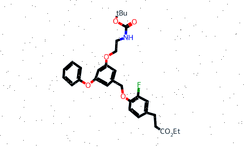 CCOC(=O)CCc1ccc(OCc2cc(OCCNC(=O)OC(C)(C)C)cc(Oc3ccccc3)c2)c(F)c1